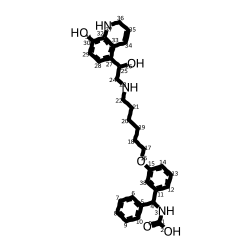 O=C(O)NC(c1ccccc1)c1cccc(OCCCCCCNCC(O)c2ccc(O)c3c2C=CCN3)c1